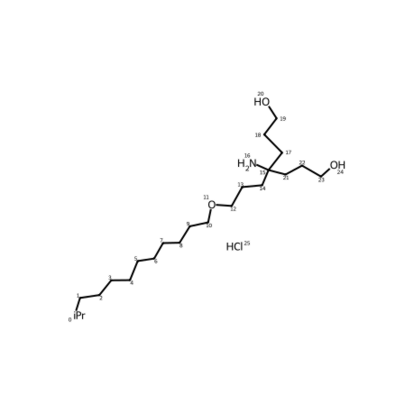 CC(C)CCCCCCCCCCOCCCC(N)(CCCO)CCCO.Cl